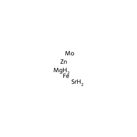 [Fe].[MgH2].[Mo].[SrH2].[Zn]